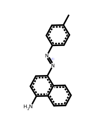 Cc1ccc(/N=N/c2ccc(N)c3ccccc23)cc1